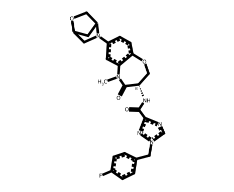 CN1C(=O)[C@@H](NC(=O)c2ncn(Cc3ccc(F)cc3)n2)COc2ccc(N3CC4CC3CO4)cc21